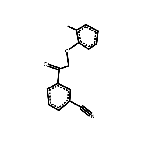 N#Cc1cccc(C(=O)COc2ccccc2I)c1